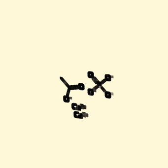 CC(=O)[O-].O=P([O-])([O-])[O-].[Ca+2].[Ca+2]